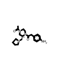 CC(=O)N1CCN(C(=O)Cc2ccc(N)cc2)[C@@H](CN2CCCC2)C1